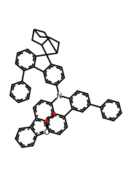 c1ccc(-c2ccc(N(c3ccc4c(c3)-c3c(-c5ccccc5)cccc3C43C4CC5CC(C4)C3C5)c3ccc4c(c3)oc3ccccc34)c(-c3ccccc3)c2)cc1